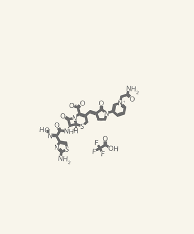 NC(=O)C[n+]1cccc(N2CC/C(=C\C3=C(C(=O)[O-])N4C(=O)[C@@H](NC(=O)/C(=N\O)c5csc(N)n5)[C@H]4SC3)C2=O)c1.O=C(O)C(F)(F)F